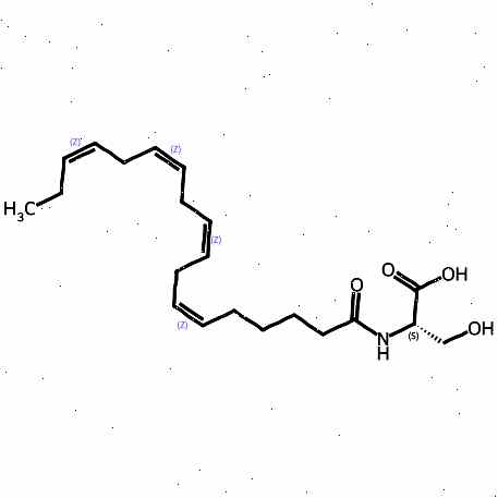 CC/C=C\C/C=C\C/C=C\C/C=C\CCCCC(=O)N[C@@H](CO)C(=O)O